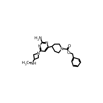 CNC1CN(c2cc(C3CCN(C(=O)OCc4ccccc4)CC3)nc(N)n2)C1